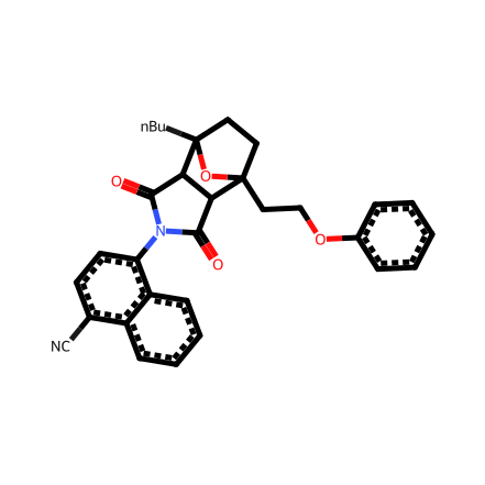 CCCCC12CCC(CCOc3ccccc3)(O1)C1C(=O)N(c3ccc(C#N)c4ccccc34)C(=O)C12